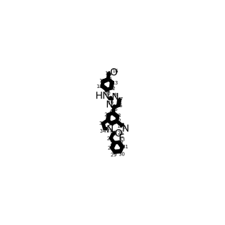 N#Cc1cc(-c2ccnc(Nc3ccc(C=O)cc3)n2)cc2c1N(C(=O)Cc1ccccc1F)CC2